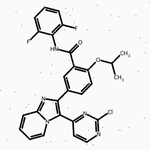 CC(C)Oc1ccc(-c2nc3ccccn3c2-c2ccnc(Cl)n2)cc1C(=O)Nc1c(F)cccc1F